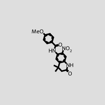 COc1ccc(C(=O)Nc2cc3c(cc2[N+](=O)[O-])NC(=O)CC3(C)C)cc1